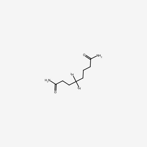 [2H]C([2H])(CCCC(N)=O)CCC(N)=O